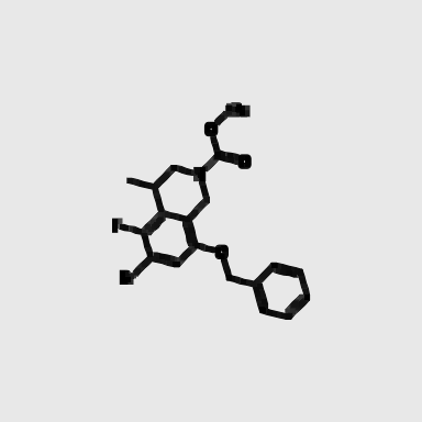 CC1CN(C(=O)OC(C)(C)C)Cc2c(OCc3ccccc3)cc(Br)c(F)c21